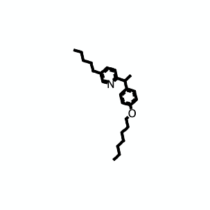 CCCCCCCOc1ccc(C(C)c2ccc(CCCCC)cn2)cc1